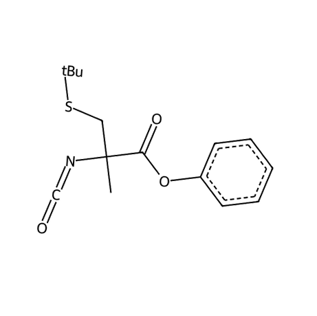 CC(C)(C)SCC(C)(N=C=O)C(=O)Oc1ccccc1